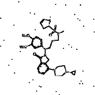 COc1ccc([C@@H](CCCN(C)S(=O)(=O)C2CC=CS2)N2Cc3c(cccc3N3CCN(C4CC4)CC3)C2=O)cc1OC